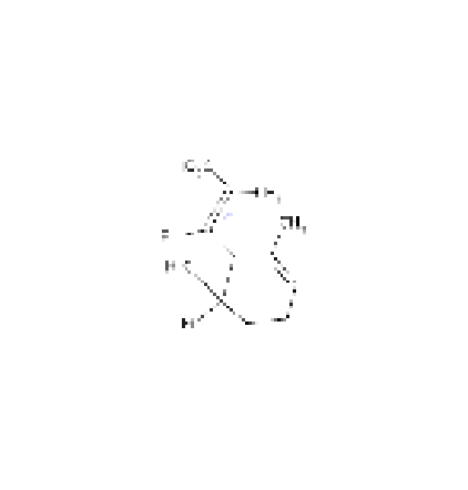 CC/C(=C(/C)C(=O)O)C1C(C)=CCCC1(C)CC